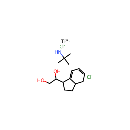 CC(C)(C)[NH-].OCC(O)C1CCC2CC=CC=C21.[Cl-].[Cl-].[Ti+3]